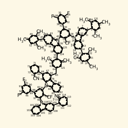 Cc1cc(C)c(-c2ccc3c(c2)c2cc(-c4c(C)cc(C)cc4C)ccc2n3-c2cc(-c3cc(F)cc(F)c3)cc(-n3c4ccc(-c5c(C)cc(C)cc5C)cc4c4cc(-c5c(C)cc(Cc6cc(-c7ccccc7C#N)cc7c6c6ccccc6n7-c6cc(-c7cc(F)cc(F)c7)cc(-n7c8ccccc8c8ccc(-c9ccccc9C#N)cc87)c6C(F)(F)F)cc5C)ccc43)c2C(F)(F)F)c(C)c1